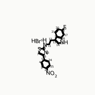 Br.O=[N+]([O-])c1ccc(-c2csc(NCCc3c[nH]c4cc(F)ccc34)n2)cc1